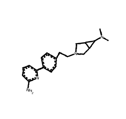 CN(C)C1C2CN(CCc3ccc(-c4cccc(N)n4)cc3)CC21